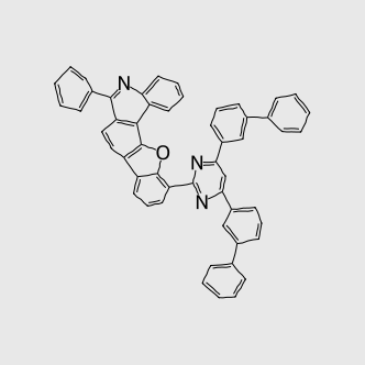 c1ccc(-c2cccc(-c3cc(-c4cccc(-c5ccccc5)c4)nc(-c4cccc5c4oc4c5ccc5c(-c6ccccc6)nc6ccccc6c54)n3)c2)cc1